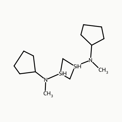 CN(C1CCCC1)[SiH]1C[SiH](N(C)C2CCCC2)C1